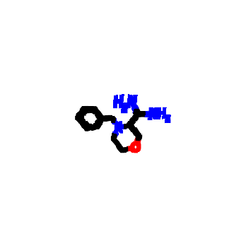 NC(N)C1COCCN1Cc1ccccc1